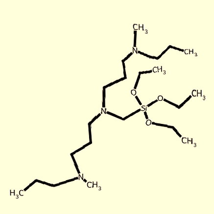 CCCN(C)CCCN(CCCN(C)CCC)C[Si](OCC)(OCC)OCC